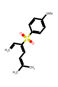 C=C/C(=C\C=C(C)C)S(=O)(=O)c1ccc(SC)cc1